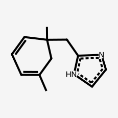 CC1=CC=CC(C)(Cc2ncc[nH]2)C1